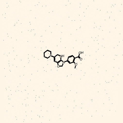 COc1cc(N2COC3=C2NCC(N2CCCCC2)=C3)ccc1C(=O)O